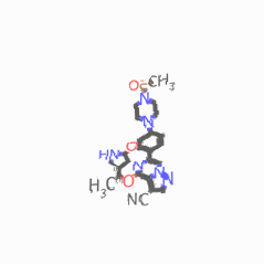 C[C@@H](Oc1nc(-c2ccc(N3CCN([S+](C)[O-])CC3)cc2)cn2ncc(C#N)c12)[C@H]1CNC(=O)C1